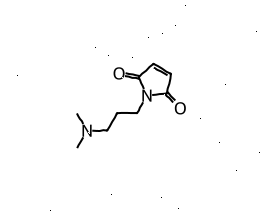 CN(C)CCCN1C(=O)C=CC1=O